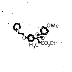 CCOC(=O)C(C)C(c1ccc(OCCN2CCCCC2)cc1)S(=O)(=O)c1ccc(OC)cc1